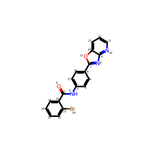 O=C(Nc1ccc(-c2nc3ncccc3o2)cc1)c1ccccc1Br